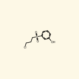 O=S(=O)(CCCCl)c1cccc(O)c1